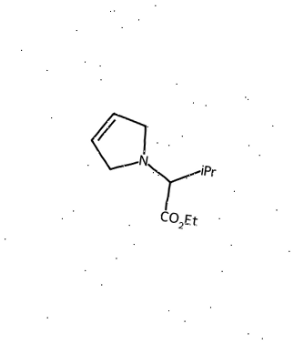 CCOC(=O)C(C(C)C)N1CC=CC1